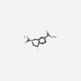 COC(=O)c1ccc2c(c1)CN(C(=O)C(F)(F)F)C[C@H]2C